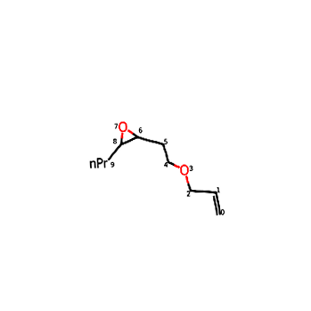 C=CCOCCC1OC1CCC